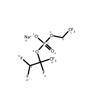 O=P([O-])(OCC(F)(F)F)OC(F)(C(F)F)C(F)(F)F.[Na+]